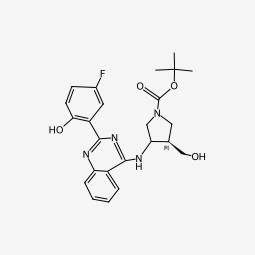 CC(C)(C)OC(=O)N1CC(Nc2nc(-c3cc(F)ccc3O)nc3ccccc23)[C@H](CO)C1